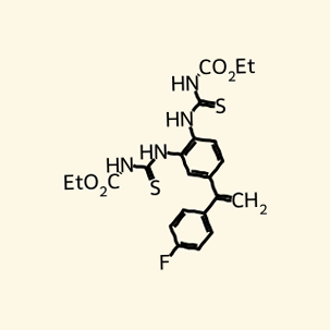 C=C(c1ccc(F)cc1)c1ccc(NC(=S)NC(=O)OCC)c(NC(=S)NC(=O)OCC)c1